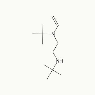 C=CN(CCNC(C)(C)C)C(C)(C)C